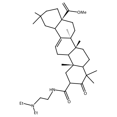 C=C(OC)[C@]12CCC(C)(C)CC1C1=CCC3[C@@]4(C)CC(C(=O)NCCN(CC)CC)C(=O)C(C)(C)C4CC[C@@]3(C)[C@]1(C)CC2